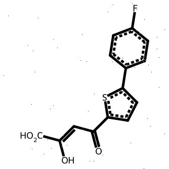 O=C(O)C(O)=CC(=O)c1ccc(-c2ccc(F)cc2)s1